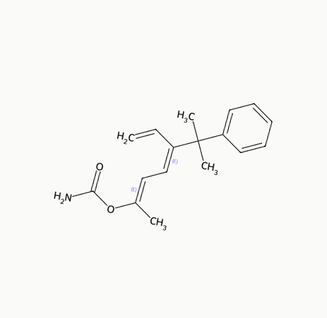 C=C/C(=C\C=C(/C)OC(N)=O)C(C)(C)c1ccccc1